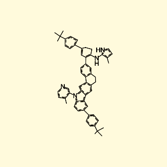 Cc1ccncc1-n1c2ccc(-c3ccc(C(C)(C)C)cc3)cc2c2cc3c(cc21)-c1ccc(C2=C(Nc4[nH]ccc4C)CCC(c4ccc(C(C)(C)C)cc4)=C2)cc1CC3